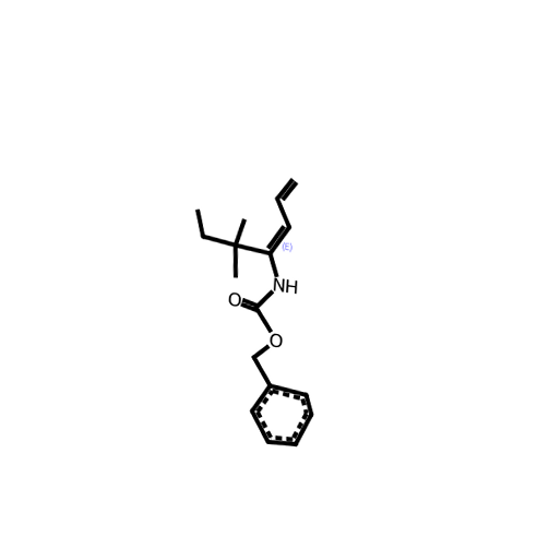 C=C/C=C(/NC(=O)OCc1ccccc1)C(C)(C)CC